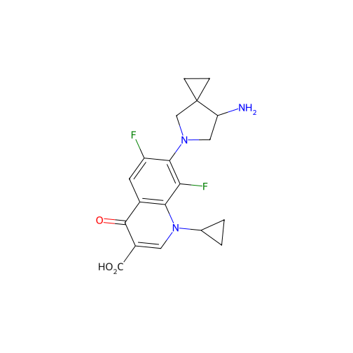 NC1CN(c2c(F)cc3c(=O)c(C(=O)O)cn(C4CC4)c3c2F)CC12CC2